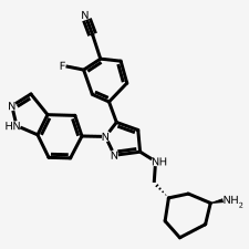 N#Cc1ccc(-c2cc(NC[C@H]3CCC[C@H](N)C3)nn2-c2ccc3[nH]ncc3c2)cc1F